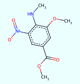 CNc1c(OC)cc(C(=O)OC)cc1[N+](=O)[O-]